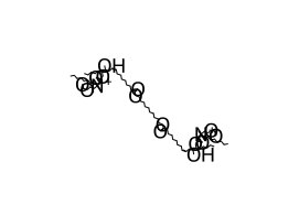 CCCCCCCC[N+](C)(CCOC(C)=O)CC(=O)OC(CCCCC)C(O)C/C=C\CCCCCCCC(=O)OCCCCCCCCCCOC(=O)CCCCCCC/C=C\CC(O)C(CCCCC)OC(=O)C[N+](C)(CCCCCCCC)CCOC(C)=O